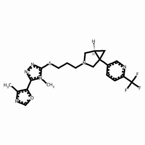 Cc1ncoc1-c1nnc(SCCCN2C[C@H]3CC3(c3ccc(C(F)(F)F)nc3)C2)n1C